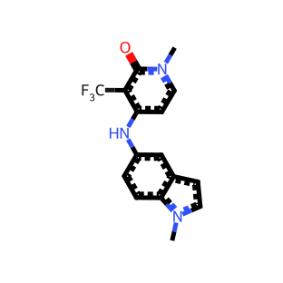 Cn1ccc(Nc2ccc3c(ccn3C)c2)c(C(F)(F)F)c1=O